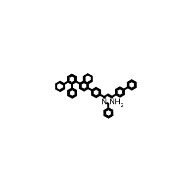 N/C(=C\C(=N/Cc1ccccc1)c1ccc(-c2ccc(-c3cccc(C4=CCCC=C4)c3-c3ccccc3)c3c2=CCCC=3)cc1)c1ccc(-c2ccccc2)cc1